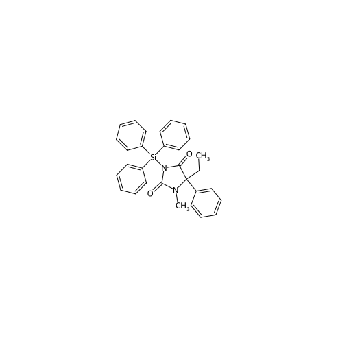 CCC1(c2ccccc2)C(=O)N([Si](c2ccccc2)(c2ccccc2)c2ccccc2)C(=O)N1C